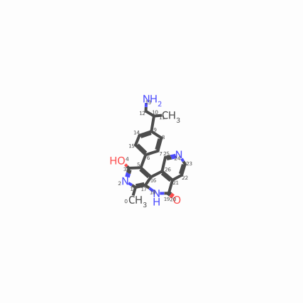 Cc1nc(O)c(-c2ccc(C(C)CN)cc2)c2c1[nH]c(=O)c1ccncc12